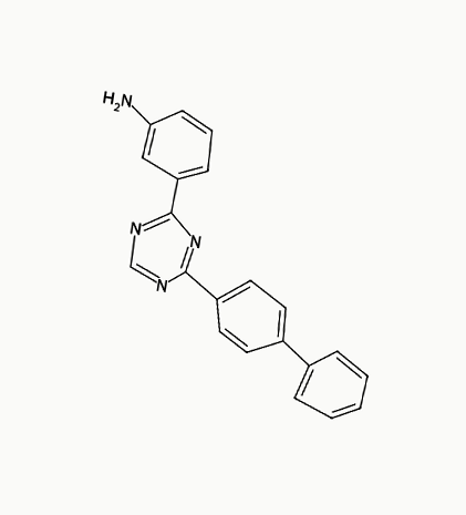 Nc1cccc(-c2ncnc(-c3ccc(-c4ccccc4)cc3)n2)c1